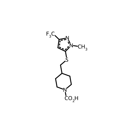 Cn1nc(C(F)(F)F)cc1SCC1CCN(C(=O)O)CC1